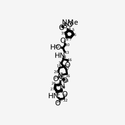 CNS(=O)(=O)c1cccc(OCC(O)CNC2COC3(CCN(S(=O)(=O)c4ccc5c(n4)OCC(=O)N5)CC3)C2)c1